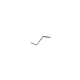 [O]CCS